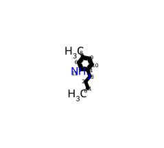 CCCCc1ccc(C)cc1.N